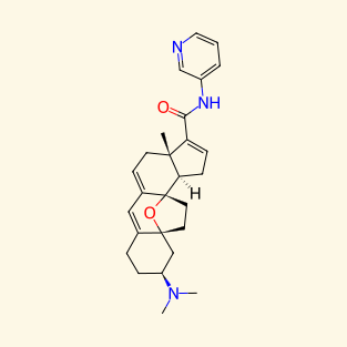 CN(C)[C@H]1CCC2=CC3=CC[C@]4(C)C(C(=O)Nc5cccnc5)=CC[C@H]4[C@@]34CC[C@]2(C1)O4